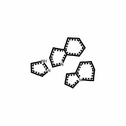 c1ccc2ncccc2c1.c1ccn2cccc2c1.c1cn[nH]c1